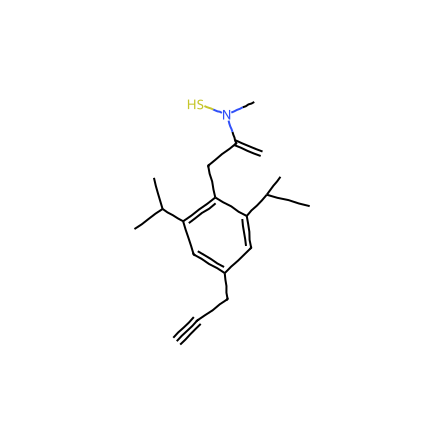 C#CCc1cc(C(C)C)c(CC(=C)N(C)S)c(C(C)C)c1